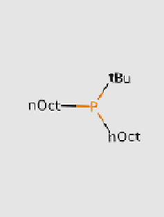 CCCCCCCCP(CCCCCCCC)C(C)(C)C